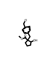 COC(=O)C1(Cc2ccc(CCl)cc2)CCCC1O